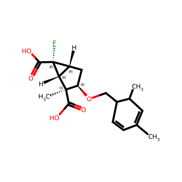 CC1=CC(C)C(CO[C@@H]2C[C@@H]3[C@H]([C@]2(C)C(=O)O)[C@@]3(F)C(=O)O)C=C1